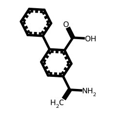 C=C(N)c1ccc(-c2ccccc2)c(C(=O)O)c1